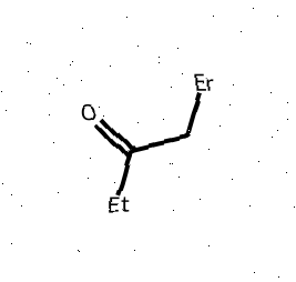 CCC(=O)[CH2][Er]